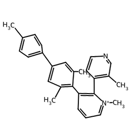 Cc1ccc(-c2cc(C)c(-c3ccc[n+](C)c3-c3ccncc3C)c(C)c2)cc1